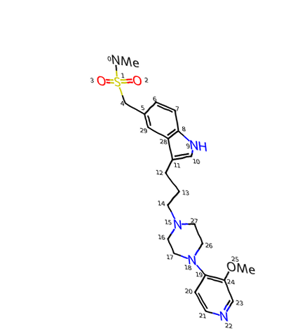 CNS(=O)(=O)Cc1ccc2[nH]cc(CCCN3CCN(c4ccncc4OC)CC3)c2c1